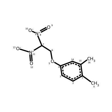 Cc1ccc(OCC([N+](=O)[O-])[N+](=O)[O-])cc1C